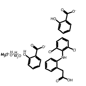 O.O.O.O.O=C(O)Cc1ccccc1Nc1c(Cl)cccc1Cl.O=C([O-])c1ccccc1O.O=C([O-])c1ccccc1O.[Mg+2]